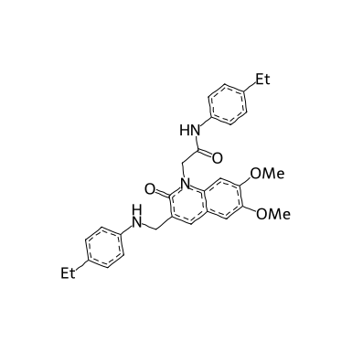 CCc1ccc(NCc2cc3cc(OC)c(OC)cc3n(CC(=O)Nc3ccc(CC)cc3)c2=O)cc1